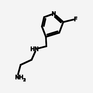 NCCNCc1ccnc(F)c1